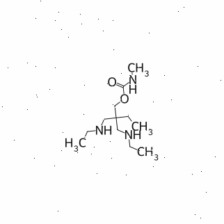 CCNCC(CC)(CNCC)COC(=O)NC